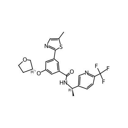 Cc1cnc(-c2cc(O[C@@H]3CCOC3)cc(C(=O)N[C@H](C)c3ccc(C(F)(F)F)nc3)c2)s1